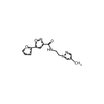 Cc1cnn(CCNC(=O)c2cc(-c3ccco3)on2)c1